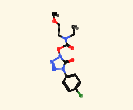 CCN(CCOC)C(=O)On1nnn(-c2ccc(Cl)cc2)c1=O